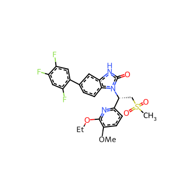 CCOc1nc([C@@H](CS(C)(=O)=O)n2c(=O)[nH]c3cc(-c4cc(F)c(F)cc4F)ccc32)ccc1OC